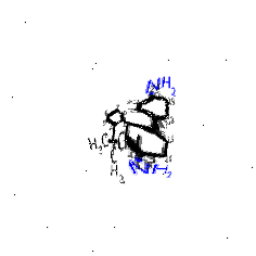 CC(C)(C)c1ccccc1-c1cc(N)ccc1-c1ccc(N)cc1